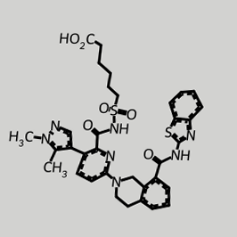 Cc1c(-c2ccc(N3CCc4cccc(C(=O)Nc5nc6ccccc6s5)c4C3)nc2C(=O)NS(=O)(=O)CCCCCC(=O)O)cnn1C